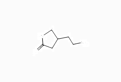 NCCC1CNC(=O)C1